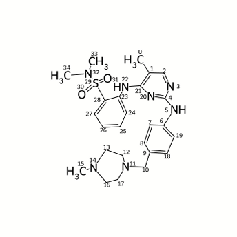 Cc1cnc(Nc2ccc(CN3CCN(C)CC3)cc2)nc1Nc1ccccc1S(=O)(=O)N(C)C